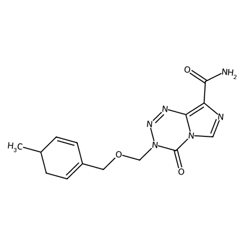 CC1C=CC(COCn2nnc3c(C(N)=O)ncn3c2=O)=CC1